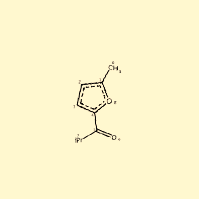 Cc1ccc(C(=O)C(C)C)o1